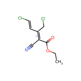 CCOC(=O)/C(C#N)=C(/C=CCl)CCl